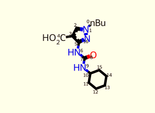 CCCCn1cc(C(=O)O)c(NC(=O)NC2CCCCC2)n1